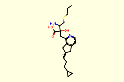 CCCSCC(N)C(O)(Cc1nccc2c1C/C(=C/CCC1CC1)C2)C(=O)O